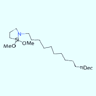 CCCCCCCCCCCCCCCCCCCCN1CCC[Si]1(OC)OC